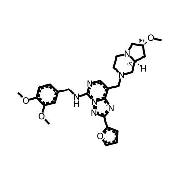 COc1ccc(CNc2ncc(CN3CCN4C[C@H](OC)C[C@H]4C3)c3nc(-c4ccco4)nn23)cc1OC